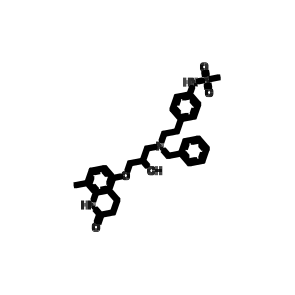 Cc1ccc(OCC(O)CN(CCc2ccc(NS(C)(=O)=O)cc2)Cc2ccccc2)c2c1NC(=O)CC2